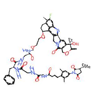 C=C1OCc2c(cc3n(c2=O)Cc2c-3nc3cc(F)c(C)c4c3c2[C@@H](OCCOCNC(=O)CNC(=O)[C@H](Cc2ccccc2)NC(=O)CNC(=O)CNC(=O)CCCc2c(C)cc(N3C(=O)CC(SC)C3=O)cc2C)CC4)[C@@]1(O)CC